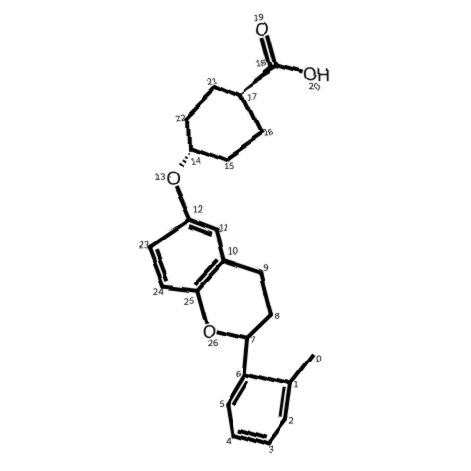 Cc1ccccc1C1CCc2cc(O[C@H]3CC[C@H](C(=O)O)CC3)ccc2O1